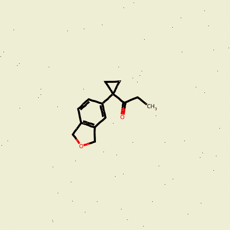 CCC(=O)C1(c2ccc3c(c2)COC3)CC1